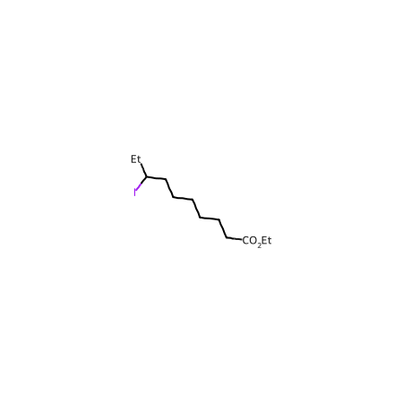 CCOC(=O)CCCCCCC(I)CC